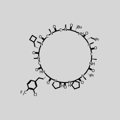 CCC(C)[C@@H]1NC(=O)[C@H](CC(C)C)N(C)C(=O)C[C@@H](C)NC(=O)[C@H](C(C)C)N(C)C(=O)C2(CCCC2)NC(=O)[C@@H]2CCCN2C(=O)[C@H](CCc2ccc(C(F)(F)F)c(Cl)c2)NC(=O)CN(C)C(=O)[C@H](CC2CCC2)N(C)C(=O)CN(C)C(=O)CN(C)C1=O